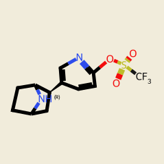 O=S(=O)(Oc1ccc([C@H]2CC3CCC2N3)cn1)C(F)(F)F